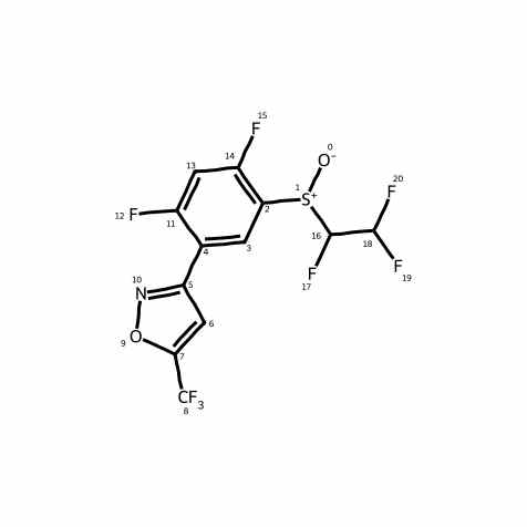 [O-][S+](c1cc(-c2cc(C(F)(F)F)on2)c(F)cc1F)C(F)C(F)F